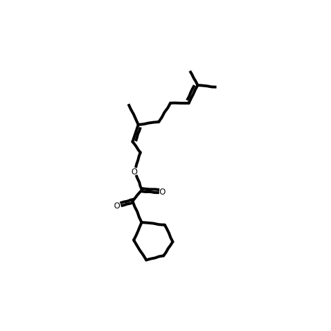 CC(C)=CCCC(C)=CCOC(=O)C(=O)C1CCCCC1